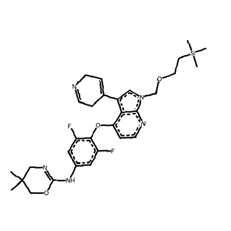 CC1(C)CN=C(Nc2cc(F)c(Oc3ccnc4c3c(C3=CCN=CC3)cn4COCC[Si](C)(C)C)c(F)c2)OC1